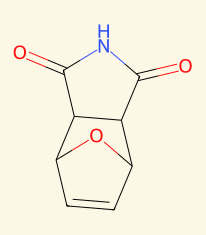 O=C1NC(=O)C2C3C=CC(O3)C12